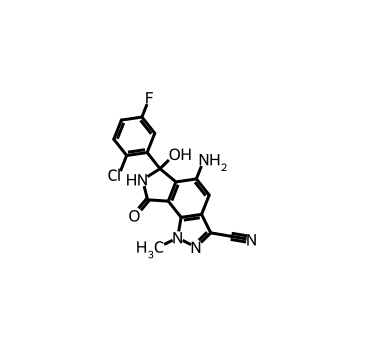 Cn1nc(C#N)c2cc(N)c3c(c21)C(=O)NC3(O)c1cc(F)ccc1Cl